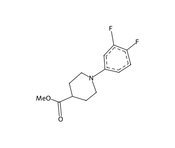 COC(=O)C1CCN(c2ccc(F)c(F)c2)CC1